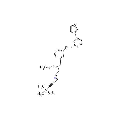 COCC(C/C=C/C#CC(C)(C)C)Cc1cccc(OCc2cccc(-c3ccsc3)c2)c1